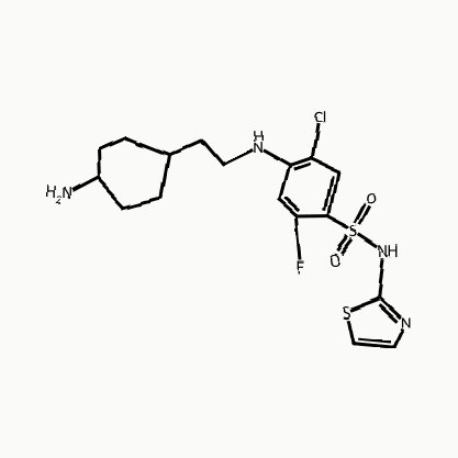 NC1CCC(CCNc2cc(F)c(S(=O)(=O)Nc3nccs3)cc2Cl)CC1